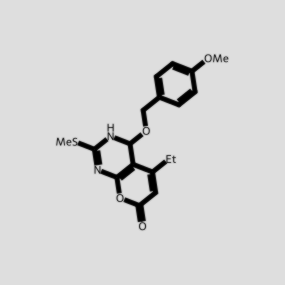 CCc1cc(=O)oc2c1C(OCc1ccc(OC)cc1)NC(SC)=N2